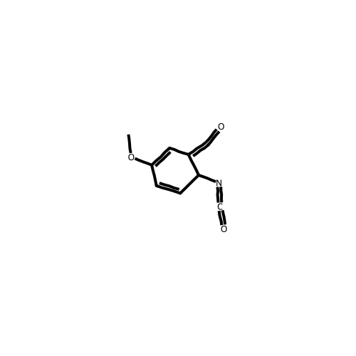 COC1=CC(=C=O)C(N=C=O)C=C1